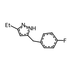 [CH2]Cc1cc(Cc2ccc(F)cc2)[nH]n1